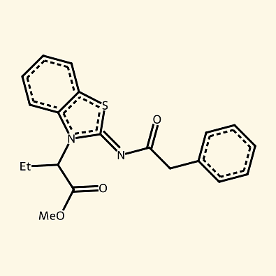 CCC(C(=O)OC)n1c(=NC(=O)Cc2ccccc2)sc2ccccc21